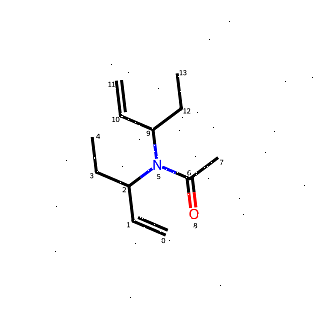 C=CC(CC)N(C(C)=O)C(C=C)CC